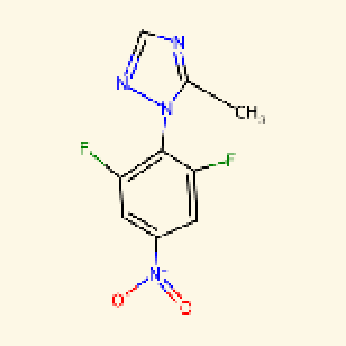 Cc1ncnn1-c1c(F)cc([N+](=O)[O-])cc1F